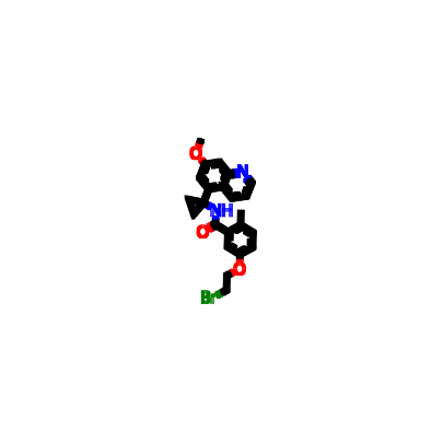 COc1cc(C2(NC(=O)c3cc(OCCBr)ccc3C)CC2)c2cccnc2c1